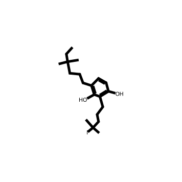 CCC(C)(C)CCCc1ccc(O)c(CCCC(C)(C)I)c1O